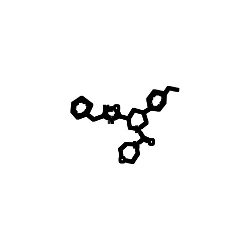 CCc1ccc(C2CC(c3nc(Cc4ccccc4)no3)CN(C(=O)N3CCOCC3)C2)cc1